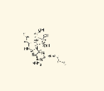 CCCCC#Cc1nc(N)c2nc(NCCCC)n([C@@H]3O[C@H](CO)[C@@H](O)[C@H]3O)c2n1